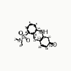 CN(C)S(=O)(=O)c1cccc2c1SC1=C(CC(=O)C=C1)N2